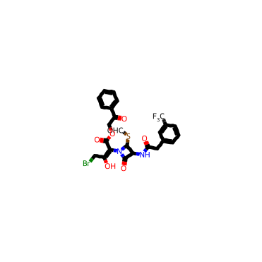 O=CSC1C(NC(=O)Cc2cccc(C(F)(F)F)c2)C(=O)N1C(C(=O)OCC(=O)c1ccccc1)=C(O)CBr